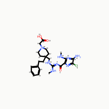 CN/C(=N\C(=O)c1nc(Cl)c(N)nc1NC)NCC1(CCc2ccccc2)CCN(CC(=O)O)CC1